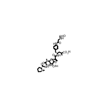 CC[C@H](C)[C@H](NC(=O)[C@H]1CCCCN1C)C(=O)N(C)[C@H](C[C@@H](OC(C)=O)c1nc(C(=O)N[C@@H](Cc2ccc(NC(=O)CNC=O)cc2)CC(C)C(=O)O)cs1)C(C)C